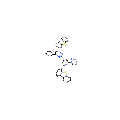 c1ccc(-c2cc(-c3nc(-c4ccc5c(c4)sc4ccccc45)c4oc5ccccc5c4n3)cc(-c3cccc4c3sc3ccccc34)c2)nc1